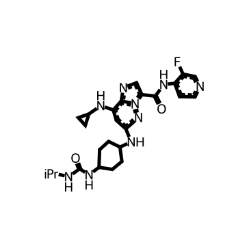 CC(C)NC(=O)NC1CCC(Nc2cc(NC3CC3)c3ncc(C(=O)Nc4ccncc4F)n3n2)CC1